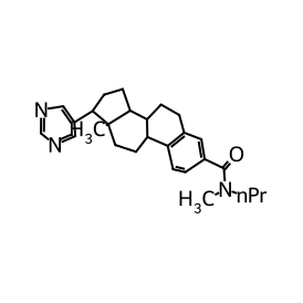 CCCN(C)C(=O)c1ccc2c(c1)CCC1C2CCC2(C)C(c3cncnc3)CCC12